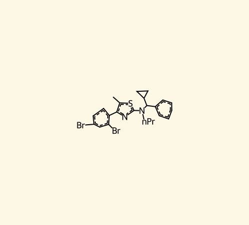 CCCN(c1nc(-c2ccc(Br)cc2Br)c(C)s1)C(c1ccccc1)C1CC1